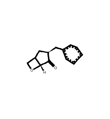 O=C1[C@H](Cc2ccccc2)CC2CO[C@@H]12